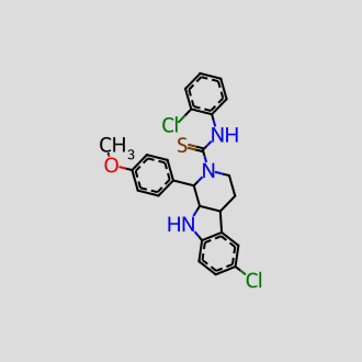 COc1ccc(C2C3Nc4ccc(Cl)cc4C3CCN2C(=S)Nc2ccccc2Cl)cc1